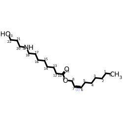 CCCCCC/C=C\COC(=O)CCCCCCCNCCCO